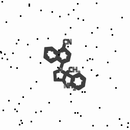 CC1(c2ccccc2)C(N)CCN1c1ccc(C#N)c2ccccc12